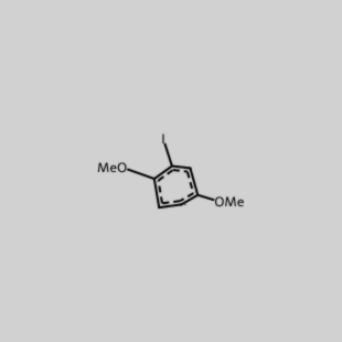 COc1[c]cc(OC)c(I)c1